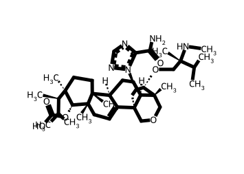 CN[C@@](C)(CO[C@H]1[C@H](n2ncnc2C(N)=O)C[C@@]23COC[C@]1(C)[C@@H]2CC[C@H]1C3=CC[C@]2(C)[C@H](OC(=O)O)[C@@](C)([C@H](C)C(C)C)CC[C@]12C)C(C)C